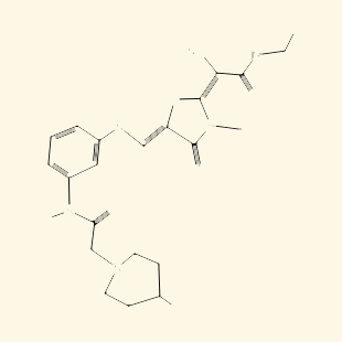 CCn1c(=C(C#N)C(=O)NCC(F)(F)F)sc(=CNc2cccc(N(C)C(=O)CN3CCC(C)CC3)c2)c1=O